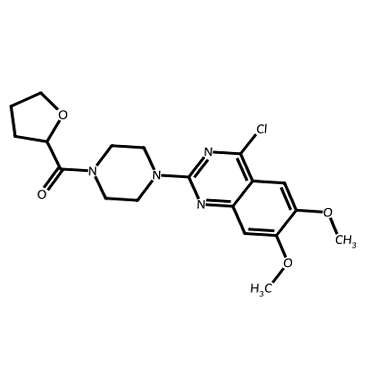 COc1cc2nc(N3CCN(C(=O)C4CCCO4)CC3)nc(Cl)c2cc1OC